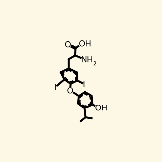 CC(C)c1cc(Oc2c(I)cc(CC(N)C(=O)O)cc2I)ccc1O